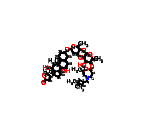 CC1CN(CC2CC(C)(C)C2)CCC(O[C@@H]2[C@H](C)O[C@@H](O[C@@H]3[C@H](C)O[C@@H](O[C@H]4CC[C@@]5(C)C(CCC6C5C[C@H](O)[C@]5(C)[C@@H](C7=CC(=O)OC7)CC[C@]65O)C4)C[C@@H]3O)C[C@@H]2O)O1